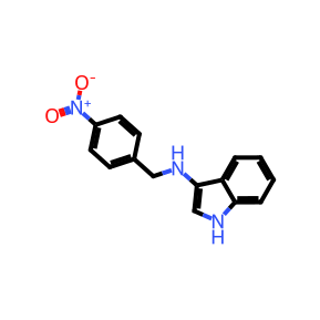 O=[N+]([O-])c1ccc(CNc2c[nH]c3ccccc23)cc1